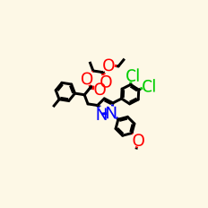 CCOC(=O)C(C)OC(=O)C(Cc1cc(-c2ccc(Cl)c(Cl)c2)n(-c2ccc(OC)cc2)n1)c1cccc(C)c1